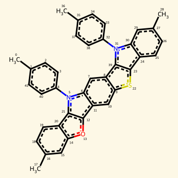 Cc1ccc(-n2c3cc4c(cc3c3oc5cc(C)ccc5c32)sc2c3ccc(C)cc3n(-c3ccc(C)cc3)c42)cc1